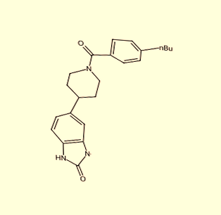 CCCCc1ccc(C(=O)N2CCC(c3ccc4c(c3)[N]C(=O)N4)CC2)cc1